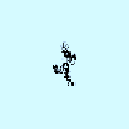 CC1(C)OCC(Cn2c(C(C)(C)CCO)cc3cc(NC(=O)C4(c5ccc6c(c5)OC(F)(F)O6)CC4)c(F)cc32)O1